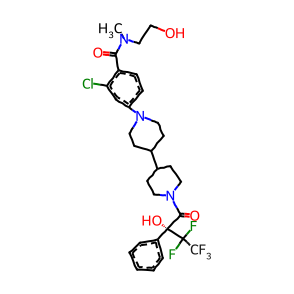 CN(CCO)C(=O)c1ccc(N2CCC(C3CCN(C(=O)[C@](O)(c4ccccc4)C(F)(F)C(F)(F)F)CC3)CC2)cc1Cl